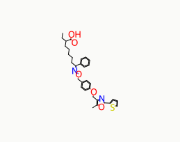 CCC(CCCCCC(=NOCc1ccc(OCc2nc(-c3cccs3)oc2C)cc1)c1ccccc1)C(=O)O